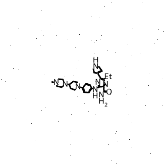 CCc1nc(C(N)=O)c(Nc2ccc(N3CCC(N4CCN(C)CC4)CC3)cc2)nc1C1=CCNCC1